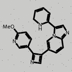 COc1ccc(C2=NC=C2c2ccc3ncc(C4=CC=CCN4)n3c2)cn1